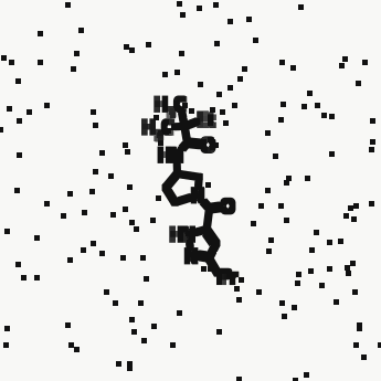 CCC(C)(C)C(=O)NC1CCN(C(=O)c2cc(C(C)C)n[nH]2)C1